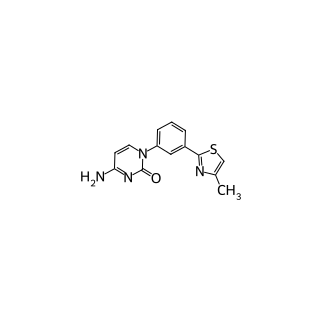 Cc1csc(-c2cccc(-n3ccc(N)nc3=O)c2)n1